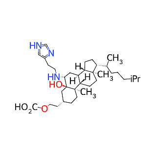 CC(C)CCCC(C)[C@H]1CC[C@H]2[C@@H]3C[C@@H](NCCc4c[nH]cn4)[C@@]4(O)C[C@@H](CCOC(=O)O)CC[C@]4(C)[C@H]3CC[C@]12C